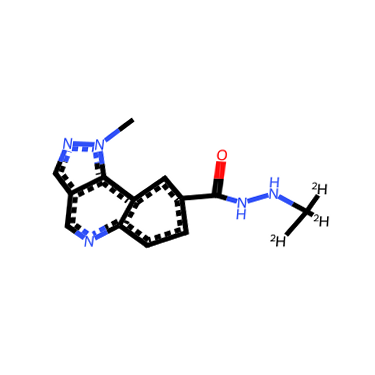 [2H]C([2H])([2H])NNC(=O)c1ccc2ncc3cnn(C)c3c2c1